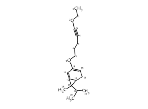 CCOC#CCCCOC1=CCC2C(=C1)C2(C)C(C)C